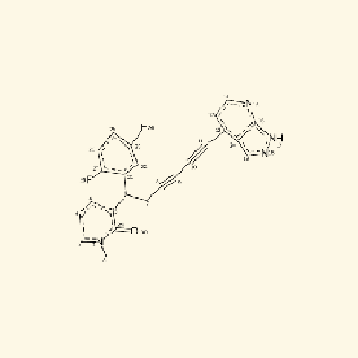 Cn1cccc(C(CC#CC#Cc2ccnc3[nH]ncc23)c2cc(F)ccc2F)c1=O